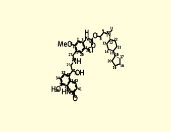 COc1cc(NC(=O)OCCN(C)[C@H]2CC[C@H]([C@@H]3[CH]CCC3)CC2)c(Cl)cc1CNC[C@H](O)c1ccc(O)c2[nH]c(=O)ccc12